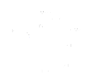 COCCc1c(C(=O)OC)[nH]c(/C=N/CO)c1-c1ccc(CO)c(CO)c1CO